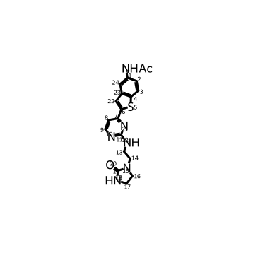 CC(=O)Nc1ccc2sc(-c3ccnc(NCCN4CCNC4=O)n3)cc2c1